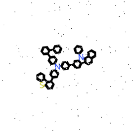 c1ccc(-c2ccccc2-c2ccc(N(c3ccc(-c4ccc5c6ccc7ccccc7c6n(-c6ccccc6)c5c4)cc3)c3ccc(-c4cccc5sc6ccccc6c45)cc3)cc2)cc1